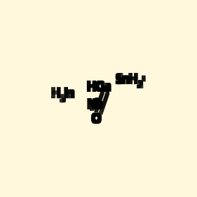 [InH3].[Nb].[O]=[GaH].[SnH2]